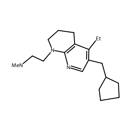 CCc1c(CC2CCCC2)cnc2c1CCCN2CCNC